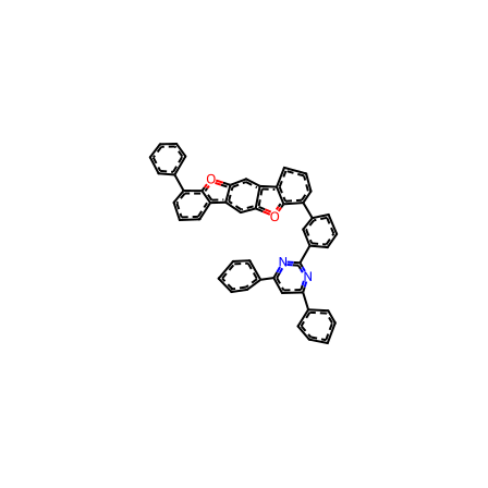 c1ccc(-c2cc(-c3ccccc3)nc(-c3cccc(-c4cccc5c4oc4cc6c(cc45)oc4c(-c5ccccc5)cccc46)c3)n2)cc1